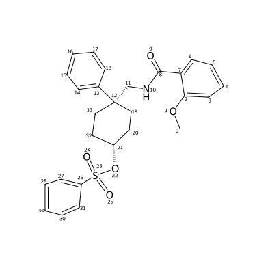 COc1ccccc1C(=O)NC[C@]1(c2ccccc2)CC[C@H](OS(=O)(=O)c2ccccc2)CC1